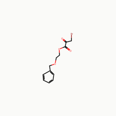 O=C(CBr)C(=O)OCCOCc1ccccc1